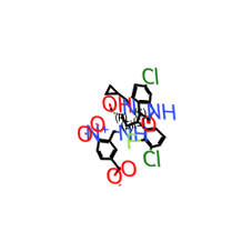 COC(=O)c1ccc([N+](=O)[O-])c(CN[C@@H]2[C@H](CO)N(CC3CC3)[C@@]3(C(=O)Nc4cc(Cl)ccc43)[C@H]2c2cccc(Cl)c2F)c1